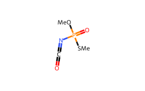 COP(=O)(N=C=O)SC